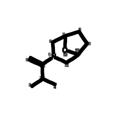 C=C(C(C)C)N1CC2CCC(C1)O2